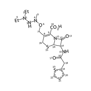 CCN(CC)NN(C)OCC1=C(C(=O)O)N2C(=O)C(NC(=O)Cc3cccs3)C2SC1